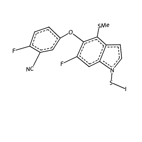 CSc1c(Oc2ccc(F)c(C#N)c2)c(F)cc2c1ccn2SI